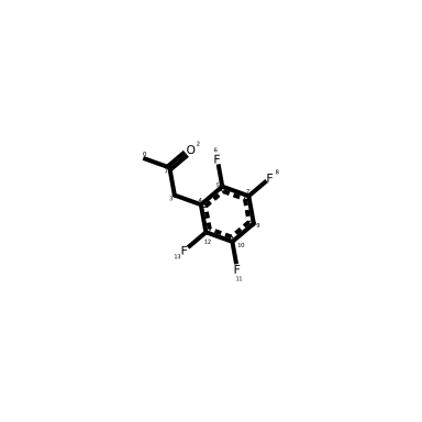 CC(=O)Cc1c(F)c(F)[c]c(F)c1F